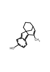 CC1=CC2CCCC3(C=c4cc(O)ccc4=C13)C2